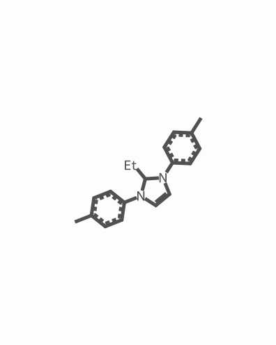 CCC1N(c2ccc(C)cc2)C=CN1c1ccc(C)cc1